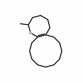 CC1CCCCC2=C(CCCCCCCCCC2)O1